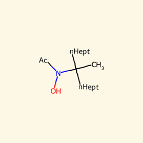 CCCCCCCC(C)(CCCCCCC)N(O)C(C)=O